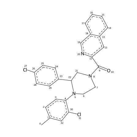 Cc1ccc(N2CCN(C(=O)c3cc4ccccc4cn3)CC2c2ccc(Cl)cc2)c(Cl)c1